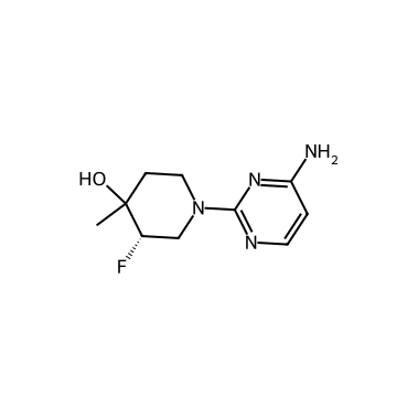 CC1(O)CCN(c2nccc(N)n2)C[C@@H]1F